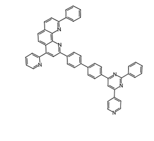 c1ccc(-c2ccc3ccc4c(-c5ccccn5)cc(-c5ccc(-c6ccc(-c7cc(-c8ccncc8)nc(-c8ccccc8)n7)cc6)cc5)nc4c3n2)cc1